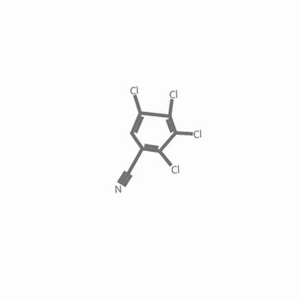 N#Cc1cc(Cl)c(Cl)c(Cl)c1Cl